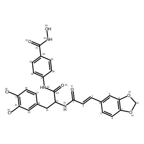 O=C(/C=C/c1ccc2c(c1)OCO2)NC(Cc1ccc(Cl)c(Cl)c1)C(=O)Nc1ccc(C(=O)NO)cc1